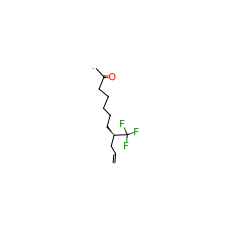 [CH2]C(=O)CCCCC[C@H](CC=C)C(F)(F)F